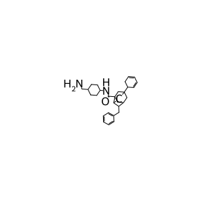 NCC1CCC(NC(=O)C23CC4CC(C5C=CC=CC5)(CC2C4Cc2ccccc2)C3)CC1